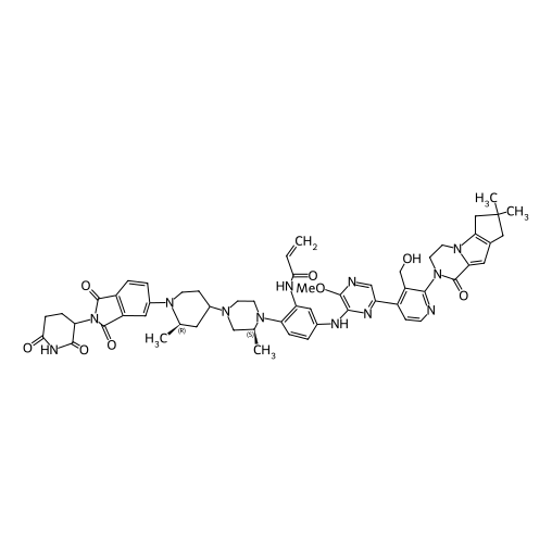 C=CC(=O)Nc1cc(Nc2nc(-c3ccnc(N4CCn5c(cc6c5CC(C)(C)C6)C4=O)c3CO)cnc2OC)ccc1N1CCN(C2CCN(c3ccc4c(c3)C(=O)N(C3CCC(=O)NC3=O)C4=O)[C@H](C)C2)C[C@@H]1C